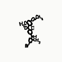 CCOc1ccc(C(=O)c2ccc(Nc3ccc(Br)cc3C)cc2Cl)c(C)c1